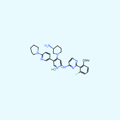 COc1cccc(F)c1-c1nccc(Nc2cc(N3CCC[C@H](N)C3)c(-c3ccc(N4CCCCC4)nc3)cn2)n1.Cl